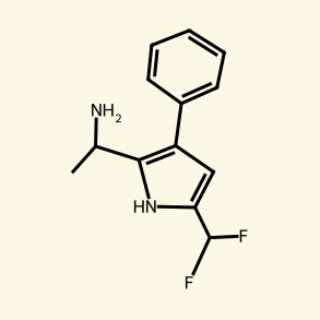 CC(N)c1[nH]c(C(F)F)cc1-c1ccccc1